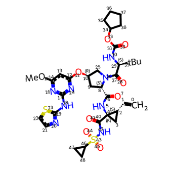 C=C[C@@H]1C[C@]1(NC(=O)[C@@H]1C[C@@H](Oc2cc(OC)nc(Nc3nccs3)n2)CN1C(=O)[C@@H](NC(=O)OC1CCCC1)C(C)(C)C)C(=O)NS(=O)(=O)C1CC1